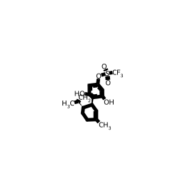 C=C(C)[C@H]1CCC(C)=C[C@@H]1c1c(O)cc(OS(=O)(=O)C(F)(F)F)cc1O